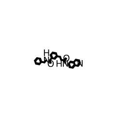 O=C(CCc1cccc(C(=O)NCc2ccccc2)c1)Nc1ccc2cnccc2c1